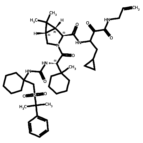 C=CCNC(=O)C(=O)C(CC1CC1)NC(=O)[C@@H]1[C@@H]2[C@H](CN1C(=O)[C@@H](NC(=O)NC1(CS(=O)(=O)C(C)(C)c3ccccc3)CCCCC1)C1(C)CCCCC1)C2(C)C